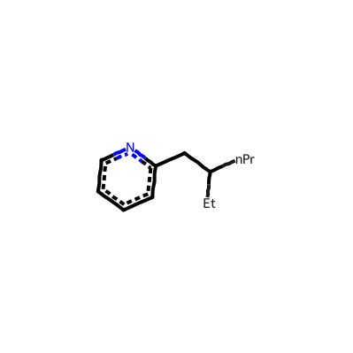 CCCC(CC)Cc1ccccn1